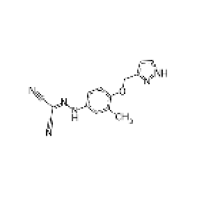 Cc1cc(NN=C(C#N)C#N)ccc1OCc1cc[nH]n1